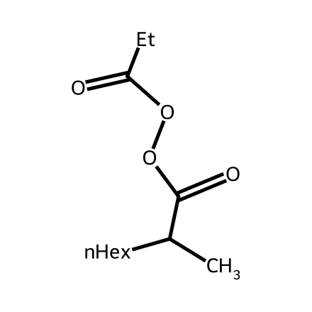 CCCCCCC(C)C(=O)OOC(=O)CC